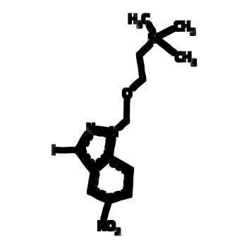 C[Si](C)(C)CCOCn1nc(I)c2cc([N+](=O)[O-])ccc21